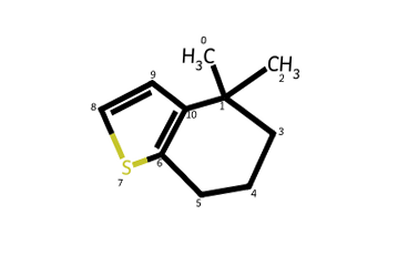 CC1(C)CCCc2sccc21